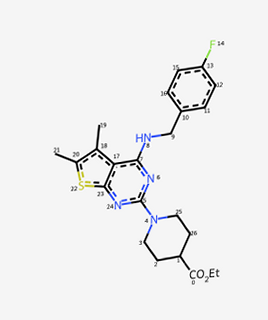 CCOC(=O)C1CCN(c2nc(NCc3ccc(F)cc3)c3c(C)c(C)sc3n2)CC1